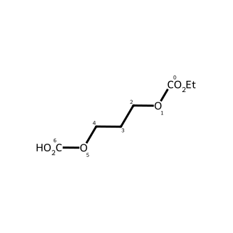 CCOC(=O)OCCCOC(=O)O